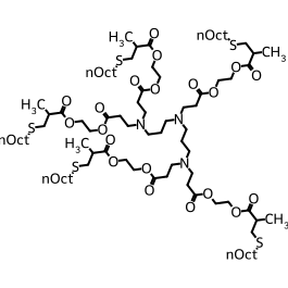 CCCCCCCCSCC(C)C(=O)OCCOC(=O)CCN(CCCN(CCC(=O)OCCOC(=O)C(C)CSCCCCCCCC)CCC(=O)OCCOC(=O)C(C)CSCCCCCCCC)CCCN(CCC(=O)OCCOC(=O)C(C)CSCCCCCCCC)CCC(=O)OCCOC(=O)C(C)CSCCCCCCCC